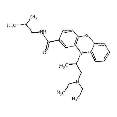 CCN(CC)C[C@@H](C)N1c2ccccc2Sc2ccc(C(=O)NCC(C)C)cc21